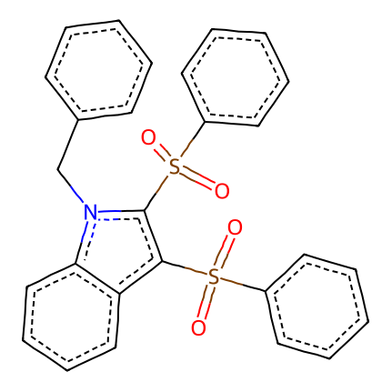 O=S(=O)(c1ccccc1)c1c(S(=O)(=O)c2ccccc2)n(Cc2ccccc2)c2ccccc12